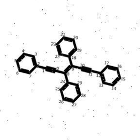 C(#Cc1ccccc1)C(=C(C#Cc1ccccc1)c1ccccc1)c1ccccc1